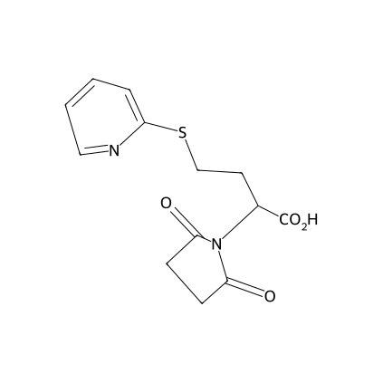 O=C(O)C(CCSc1ccccn1)N1C(=O)CCC1=O